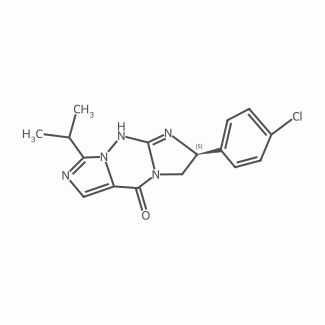 CC(C)c1ncc2n1NC1=N[C@@H](c3ccc(Cl)cc3)CN1C2=O